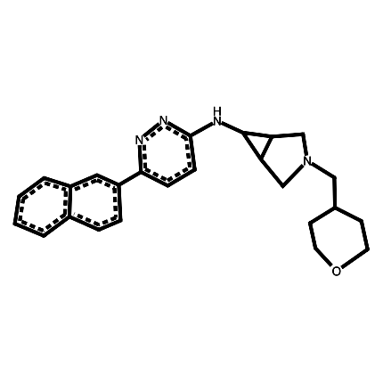 c1ccc2cc(-c3ccc(NC4C5CN(CC6CCOCC6)CC54)nn3)ccc2c1